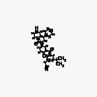 CC(C)CCN(C(=O)NCC#N)C(=O)c1cccc(N(CCN2CCOCC2)C(=O)N2CCNCC2)c1